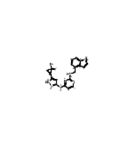 FC1(F)CC1c1cc(Nc2ccnc(NCc3cccc4[nH]ccc34)n2)n[nH]1